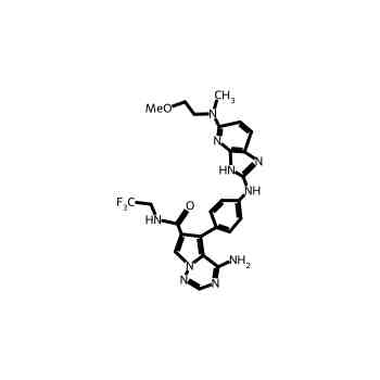 COCCN(C)c1ccc2nc(Nc3ccc(-c4c(C(=O)NCC(F)(F)F)cn5ncnc(N)c45)cc3)[nH]c2n1